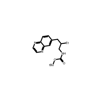 CCC(CNC(=O)OC(C)(C)C)Cc1ccc2nccnc2c1